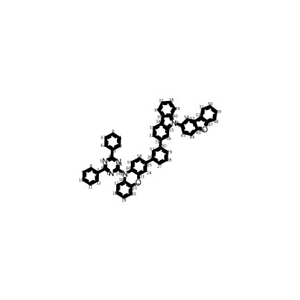 c1ccc(-c2nc(-c3ccccc3)nc(N3c4ccccc4Oc4cc(-c5cccc(-c6ccc7c8ccccc8n(-c8ccc9oc%10ccccc%10c9c8)c7c6)c5)ccc43)n2)cc1